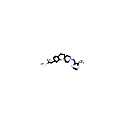 CC(Cc1ccc2c(c1)OC1(CC2)CCN(Cc2nccnc2C(F)(F)F)CC1)C(=O)O